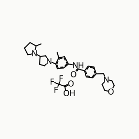 Cc1cc(NC(=O)c2ccc(CN3CCOCC3)cc2)ccc1N1CCC(N2CCCC2C)C1.O=C(O)C(F)(F)F